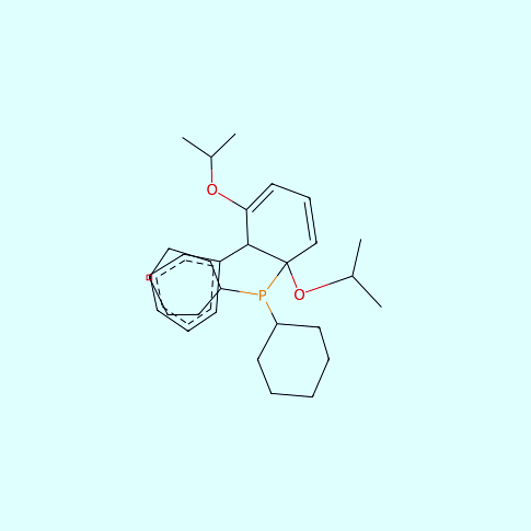 CC(C)OC1=CC=CC(OC(C)C)(P(C2CCCCC2)C2CCCCC2)C1c1ccccc1